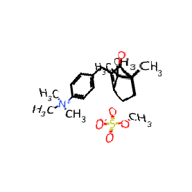 CC1(C)C2=C(Cc3ccc([N+](C)(C)C)cc3)C(=O)C1(C)CC2.COS(=O)(=O)[O-]